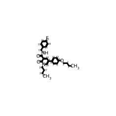 CCCCOc1ccc(-c2cc(C(=O)NCc3ccc(F)cc3)c(=O)n(CCCC)c2)cc1